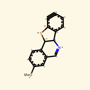 COc1ccc2c(c1)C=NC1c3ccc#cc3SC21